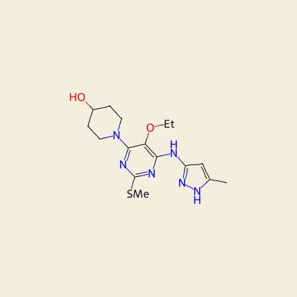 CCOc1c(Nc2cc(C)[nH]n2)nc(SC)nc1N1CCC(O)CC1